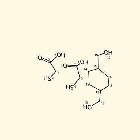 O=C(O)CS.O=C(O)CS.OCC1CCC(CO)CC1